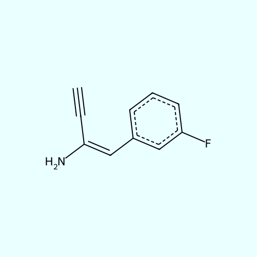 C#C/C(N)=C\c1cccc(F)c1